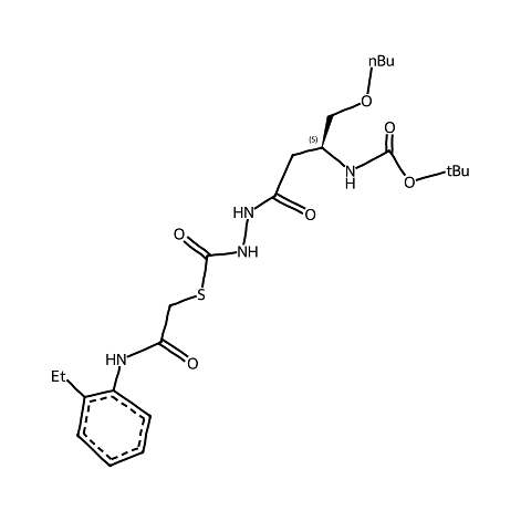 CCCCOC[C@H](CC(=O)NNC(=O)SCC(=O)Nc1ccccc1CC)NC(=O)OC(C)(C)C